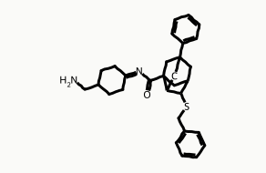 NCC1CCC(=NC(=O)C23CC4CC(c5ccccc5)(CC2C4SCc2ccccc2)C3)CC1